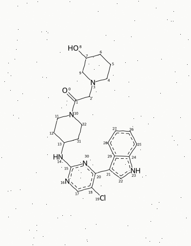 O=C(CN1CCCC(O)C1)N1CCC(Nc2ncc(Cl)c(-c3c[nH]c4ccccc34)n2)CC1